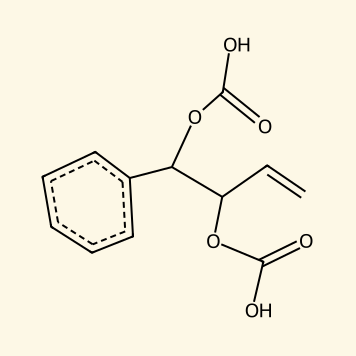 C=CC(OC(=O)O)C(OC(=O)O)c1ccccc1